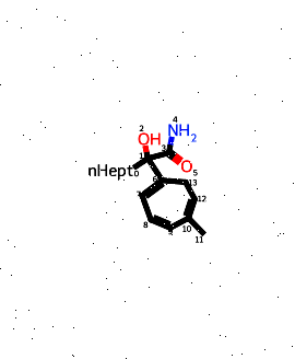 CCCCCCCC(O)(C(N)=O)C1=CC=CC(C)=CC1